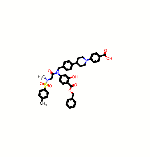 Cc1ccc(S(=O)(=O)N(C)CC(=O)N(Cc2ccc(C3CCN(c4ccc(C(=O)O)cc4)CC3)cc2)c2ccc(C(=O)OCc3ccccc3)c(O)c2)cc1